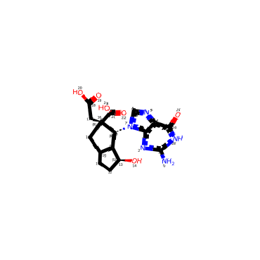 Nc1nc2c(ncn2[C@@H]2C3C(CC[C@@H]3O)C[C@]2(CC(=O)O)C(=O)O)c(=O)[nH]1